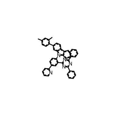 Cc1ccc(-c2ccc3c4ccccc4n(-c4ccc(-c5ccccn5)cc4-c4nc(-c5ccccc5)nc(-c5ccccc5)n4)c3c2)c(C)c1